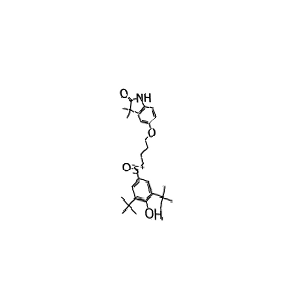 CC(C)(C)c1cc([S+]([O-])CCCCOc2ccc3c(c2)C(C)(C)C(=O)N3)cc(C(C)(C)C)c1O